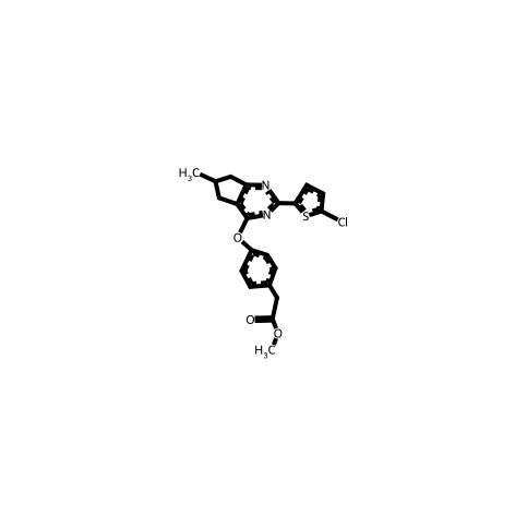 COC(=O)Cc1ccc(Oc2nc(-c3ccc(Cl)s3)nc3c2CC(C)C3)cc1